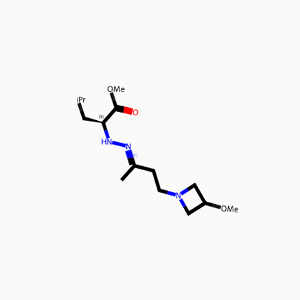 COC(=O)[C@H](CC(C)C)N/N=C(\C)CCN1CC(OC)C1